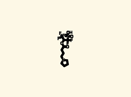 O=C(CCCN1CCCC1)OC(C(F)(F)F)C(F)(F)S(=O)(=O)O